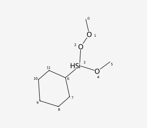 COO[SiH](OC)C1CCCCC1